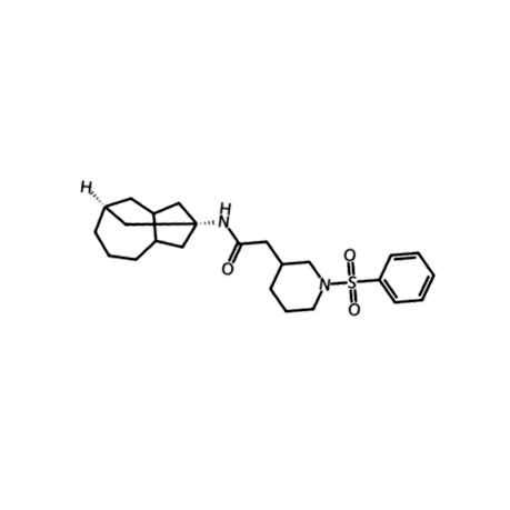 O=C(CC1CCCN(S(=O)(=O)c2ccccc2)C1)N[C@@]12CC3CCC[C@@H](CC3C1)C2